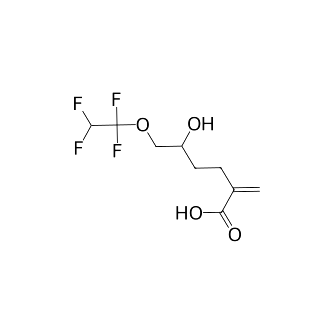 C=C(CCC(O)COC(F)(F)C(F)F)C(=O)O